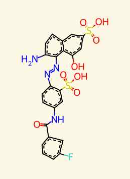 Nc1ccc2cc(S(=O)(=O)O)cc(O)c2c1N=Nc1ccc(NC(=O)c2cccc(F)c2)cc1S(=O)(=O)O